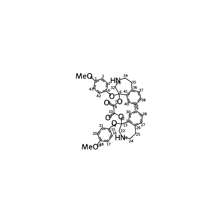 COc1ccc(OC2(OC(=O)C(=O)OC3(Oc4ccc(OC)cc4)CNCCc4ccccc43)CNCCc3ccccc32)cc1